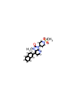 Cn1c(=O)n(C2CCN(S(C)(=O)=O)CC2)c2nccc(-c3ccc4ccccc4c3)c21